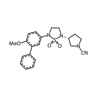 COc1ccc(N2CCN([C@@H]3CCN(C#N)C3)S2(=O)=O)cc1-c1ccccc1